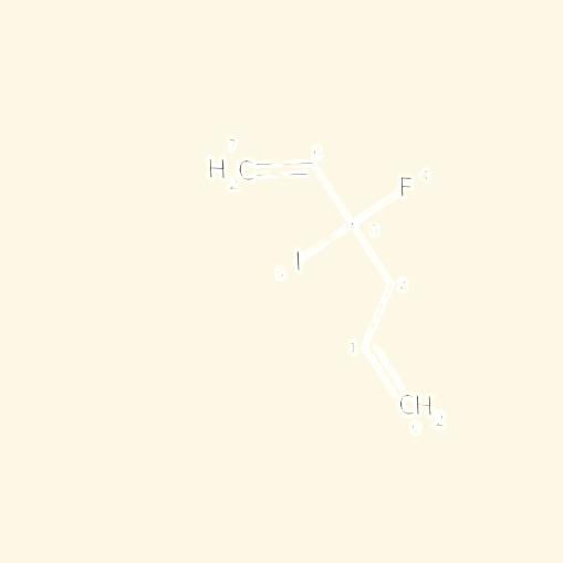 C=CCC(F)(I)C=C